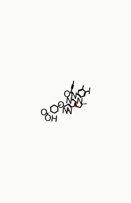 CC#CC(=O)N(c1ccc2c(n1)c(O[C@H]1CC[C@H](C(=O)O)CC1)nn2C)c1cc(C)c(I)cc1N1CCC[C@@H]1C